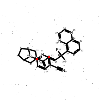 N#Cc1ccc(N2C3CCC2CN(C(=O)/C=C/C(F)(F)c2cccc4nccnc24)C3)nc1